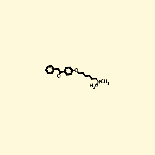 CN(C)CCCCCCOc1ccc(C(=O)Cc2ccccc2)cc1